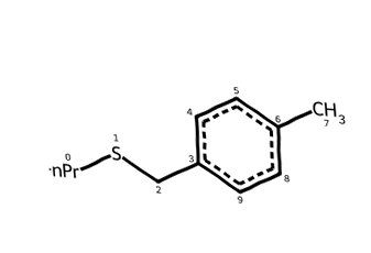 CC[CH]SCc1ccc(C)cc1